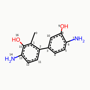 Cc1c(-c2ccc(N)c(O)c2)ccc(N)c1O